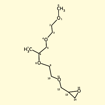 COCCOCC(C)OCCOCC1CO1